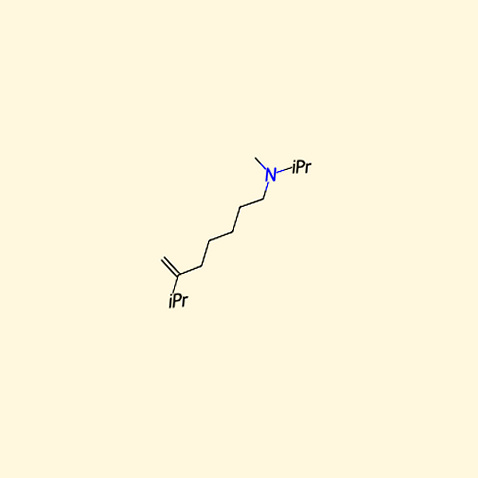 C=C(CCCCCN(C)C(C)C)C(C)C